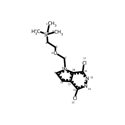 C[Si](C)(C)CCOCn1ccc2c(Cl)nnc(Cl)c21